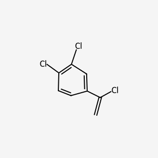 C=C(Cl)c1ccc(Cl)c(Cl)c1